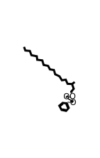 CCCCCCCCCCCCCCCCC(C)CCOS(=O)(=O)c1ccccc1